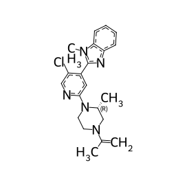 C=C(C)N1CCN(c2cc(-c3nc4ccccc4n3C)c(Cl)cn2)[C@H](C)C1